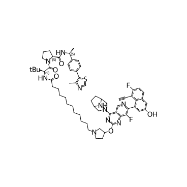 C#Cc1c(F)ccc2cc(O)cc(-c3ncc4c(N5CC6CCC(C5)N6)nc(OC5CCN(CCCCCCCCCCCC(=O)N[C@H](C(=O)N6CCC[C@H]6C(=O)N[C@@H](C)c6ccc(-c7scnc7C)cc6)C(C)(C)C)C5)nc4c3F)c12